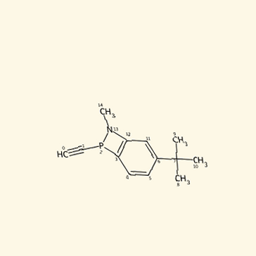 C#Cp1c2ccc(C(C)(C)C)cc2n1C